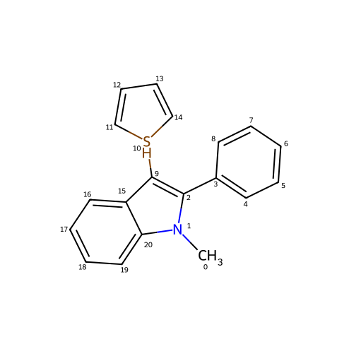 Cn1c(-c2ccccc2)c([SH]2C=CC=C2)c2ccccc21